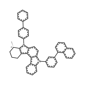 C[C@H]1CCCc2c1n(-c1ccc(-c3ccccc3)cc1)c1ccc3c(c4ccccc4n3-c3cccc(-c4cccc5ccccc45)c3)c21